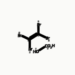 BrC(Br)=C(Br)Br.O=C(O)O